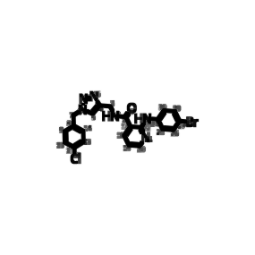 O=C(NCc1cn(Cc2ccc(Cl)cc2)nn1)c1cccnc1Nc1ccc(Br)cc1